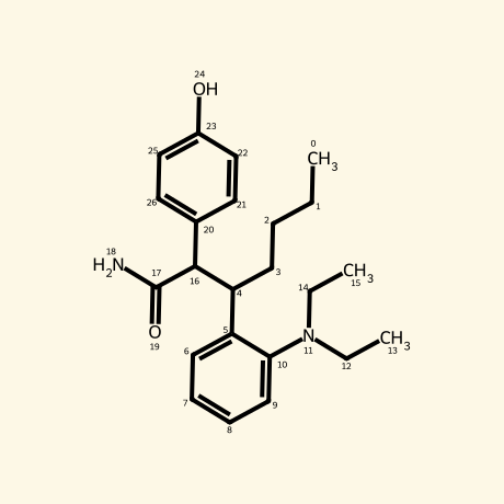 CCCCC(c1ccccc1N(CC)CC)C(C(N)=O)c1ccc(O)cc1